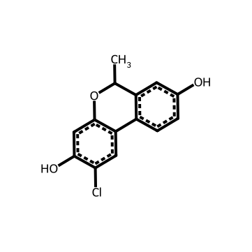 CC1Oc2cc(O)c(Cl)cc2-c2ccc(O)cc21